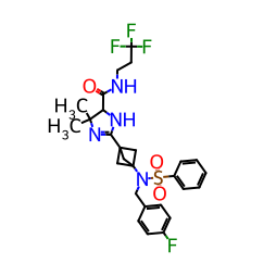 CC1(C)N=C(C23CC(N(Cc4ccc(F)cc4)S(=O)(=O)c4ccccc4)(C2)C3)NC1C(=O)NCCC(F)(F)F